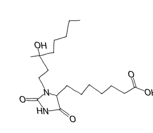 CCCCCC(C)(O)CCN1C(=O)NC(=O)C1CCCCCCC(=O)O